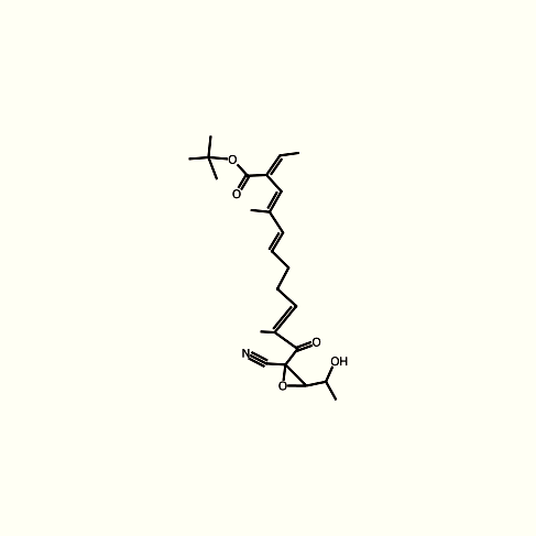 C\C=C(/C=C(C)/C=C/CC/C=C(\C)C(=O)C1(C#N)OC1C(C)O)C(=O)OC(C)(C)C